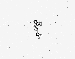 CCC1CN(c2ccc(Cl)c(Cl)c2)CCN1C(=O)c1cc(=O)[nH]c2ccccc12